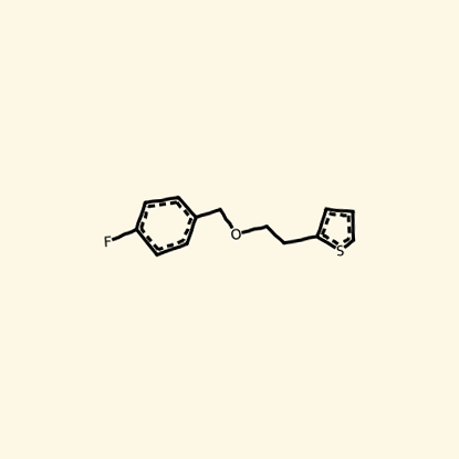 Fc1ccc(COCCc2cccs2)cc1